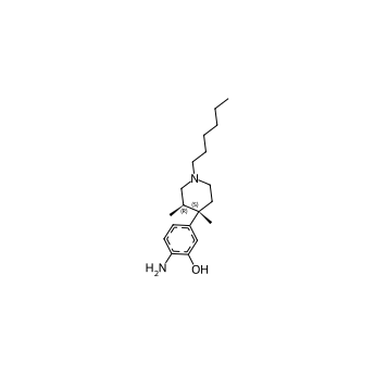 CCCCCCN1CC[C@](C)(c2ccc(N)c(O)c2)[C@@H](C)C1